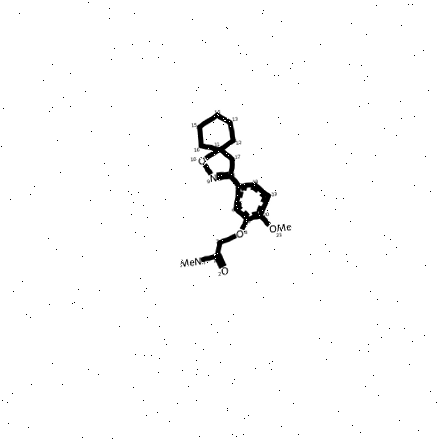 CNC(=O)COc1cc(C2=NOC3(CCCCC3)C2)ccc1OC